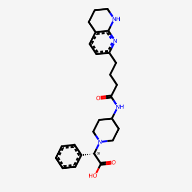 O=C(CCCc1ccc2c(n1)NCCC2)NC1CCN([C@H](C(=O)O)c2ccccc2)CC1